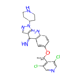 C[C@@H](Oc1ccc(N)c(C(=N)c2cnn(C3CCNCC3)c2)c1)c1c(Cl)cncc1Cl